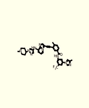 Cc1cn(-c2cc(NC(=O)c3ccc(C)c(C#Cc4cnc5c(Nc6cnn(C7CCN(C)CC7)c6)cccn45)c3)cc(C(F)(F)F)c2)cn1